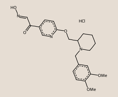 COc1ccc(CN2CCCCC2COc2ccc(C(=O)C=NO)cn2)cc1OC.Cl